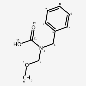 COCN(Cc1ccccc1)C(=O)O